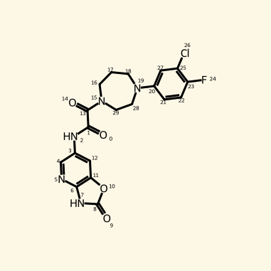 O=C(Nc1cnc2[nH]c(=O)oc2c1)C(=O)N1CCCN(c2ccc(F)c(Cl)c2)CC1